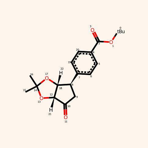 CC(C)(C)OC(=O)c1ccc([C@H]2CC(=O)[C@@H]3OC(C)(C)O[C@H]23)cc1